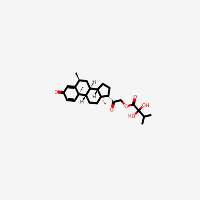 CC(C)C(O)(O)C(=O)OCC(=O)[C@H]1CC[C@H]2[C@@H]3C[C@H](C)C4=CC(=O)C=C[C@]4(C)[C@H]3CC[C@]12C